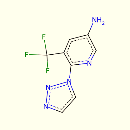 Nc1cnc(-n2ccnn2)c(C(F)(F)F)c1